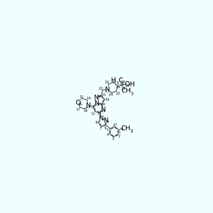 Cc1cccc(-c2ccn(-c3cc(N4CCOCC4)n4nc(CN5CCC(C(C)(C)O)CC5)cc4n3)n2)c1